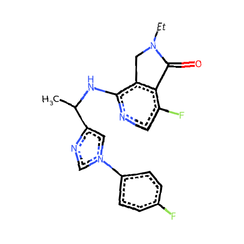 CCN1Cc2c(NC(C)c3cn(-c4ccc(F)cc4)cn3)ncc(F)c2C1=O